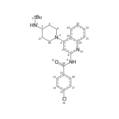 CC(C)(C)NC1CCN(c2cc(NC(=O)c3ccc(Cl)cc3)nc3ccccc23)CC1